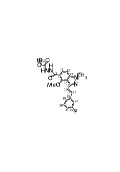 COc1c(C(=O)NNC(=O)OC(C)(C)C)ccc2c1c(/C=C/c1cccc(F)c1)nn2C